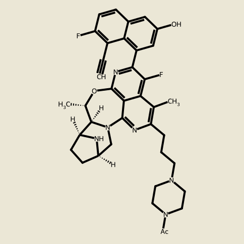 C#Cc1c(F)ccc2cc(O)cc(-c3nc4c5c(nc(CCCN6CCN(C(C)=O)CC6)c(C)c5c3F)N3C[C@H]5CC[C@H](N5)[C@H]3[C@H](C)O4)c12